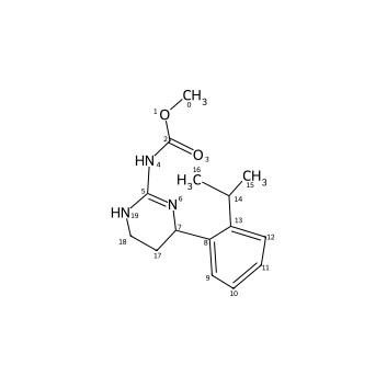 COC(=O)NC1=NC(c2ccccc2C(C)C)CCN1